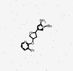 CC(C)c1cccnc1OC1COC(c2cc(N)n(C(C)(C)C)c2)C1